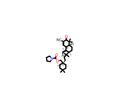 CC(=O)/C=C1/[C@@]2(C)C=C(C#N)C(=O)C(C)(C)[C@@H]2CC[C@@]1(C)C(C)(C)CC[C@@]1(COC(=O)N2CCCC2)CCC(C)(C)C[C@@H]1C